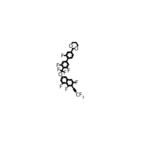 Fc1cc(C2OCCCO2)ccc1-c1cc(F)c(C(F)(F)Oc2cc(F)c3c(F)c(C#CC(F)(F)F)c(F)cc3c2)c(F)c1